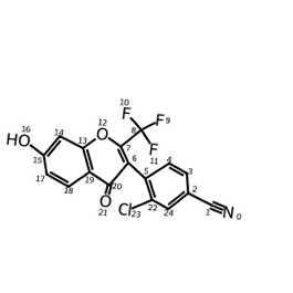 N#Cc1ccc(-c2c(C(F)(F)F)oc3cc(O)ccc3c2=O)c(Cl)c1